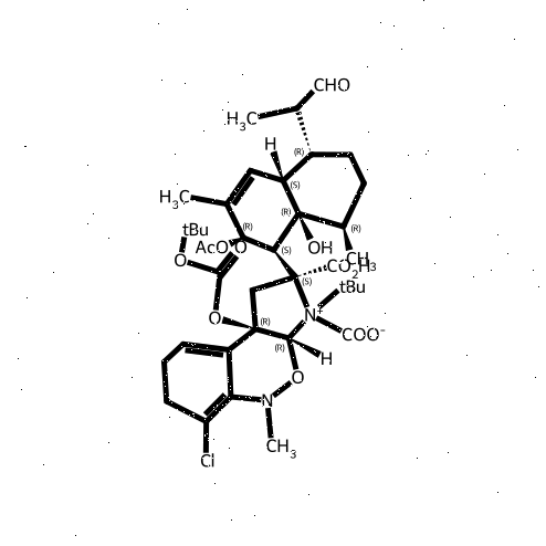 CC(=O)O[C@H]1C(C)=C[C@@H]2[C@H](C(C)C=O)CC[C@@H](C)[C@]2(O)[C@H]1[C@]1(C(=O)O)C[C@@]2(OC(=O)OC(C)(C)C)C3=CCCC(Cl)=C3N(C)O[C@H]2[N+]1(C(=O)[O-])C(C)(C)C